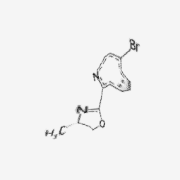 C[C@H]1COC(c2ccc(Br)cn2)=N1